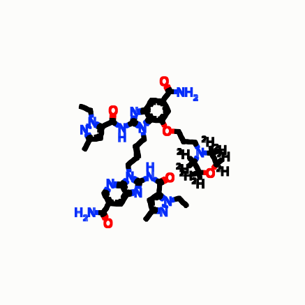 [2H]C1([2H])OC([2H])([2H])C([2H])([2H])N(CCCOc2cc(C(N)=O)cc3nc(NC(=O)c4cc(C)nn4CC)n(C/C=C/Cn4c(NC(=O)c5cc(C)nn5CC)nc5cc(C(N)=O)cnc54)c23)C1([2H])[2H]